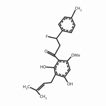 COc1cc(O)c(CC=C(C)C)c(O)c1C(=O)CC(F)c1ccc(C)cc1